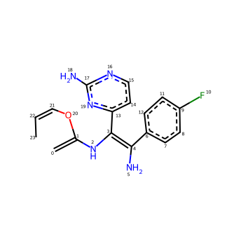 C=C(N/C(=C(\N)c1ccc(F)cc1)c1ccnc(N)n1)O/C=C\C